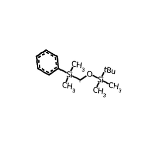 CC(C)(C)[Si](C)(C)O[CH][Si](C)(C)c1ccccc1